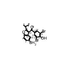 Bc1ccc2oc(C(C)F)c(C(=O)c3cc(Br)c(O)c(Br)c3)c2c1